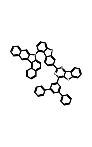 c1ccc(-c2cc(-c3ccccc3)cc(-c3nc(-c4ccc5c(c4)sc4cccc(-n6c7cc8ccccc8cc7c7c8ccccc8ccc76)c45)nc4c3sc3ccccc34)c2)cc1